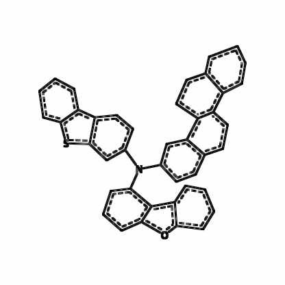 c1ccc2c(c1)ccc1c3cc(N(c4ccc5c(c4)sc4ccccc45)c4cccc5oc6ccccc6c45)ccc3ccc21